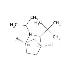 CC(C)N1C(C(C)(C)C)[C@H]2CC[C@@H]1C2